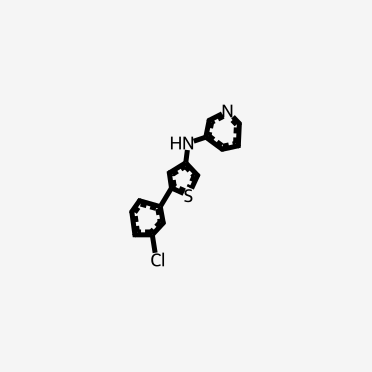 Clc1cccc(-c2cc(Nc3cccnc3)cs2)c1